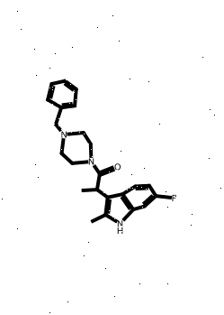 Cc1[nH]c2cc(F)ccc2c1C(C)C(=O)N1CCN(Cc2ccccc2)CC1